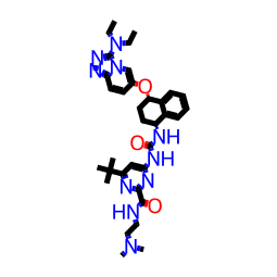 CCN(CC)c1nnc2ccc(O[C@@H]3CC[C@H](NC(=O)Nc4cc(C(C)(C)C)nc(C(=O)NCCN(C)C)n4)c4ccccc43)cn12